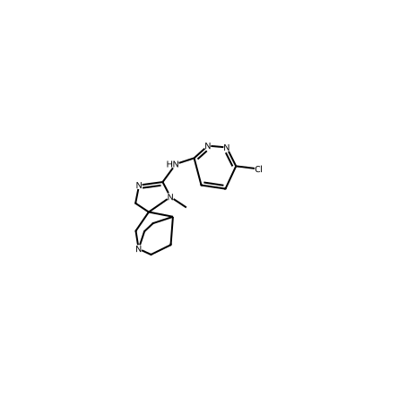 CN1C(Nc2ccc(Cl)nn2)=NCC12CN1CCC2CC1